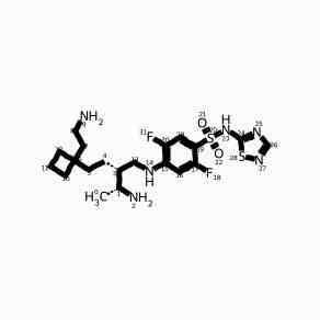 C[C@@H](N)[C@H](CCC1(CCN)CCC1)CNc1cc(F)c(S(=O)(=O)Nc2ncns2)cc1F